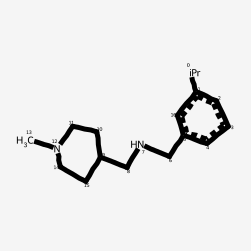 CC(C)c1cccc(CNCC2CCN(C)CC2)c1